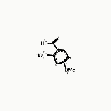 C=C(O)c1ccc(OC)cc1C(=O)O